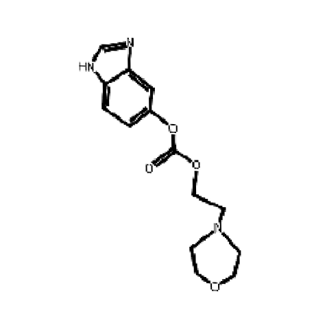 O=C(OCCN1CCOCC1)Oc1ccc2[nH]cnc2c1